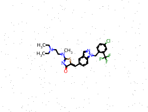 CCN(CC)CCN(C)C1=NC(=O)C(=Cc2ccc3c(cnn3Cc3ccc(Cl)cc3C(F)(F)F)c2)S1